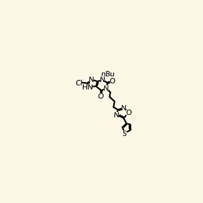 CCCCn1c(=O)n(CCCCc2noc(-c3ccsc3)n2)c(=O)c2[nH]c(Cl)nc21